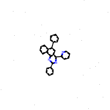 c1ccc(-c2nc(-c3ccccn3)c3cc(-c4ccccc4)c4ccccc4c3n2)cc1